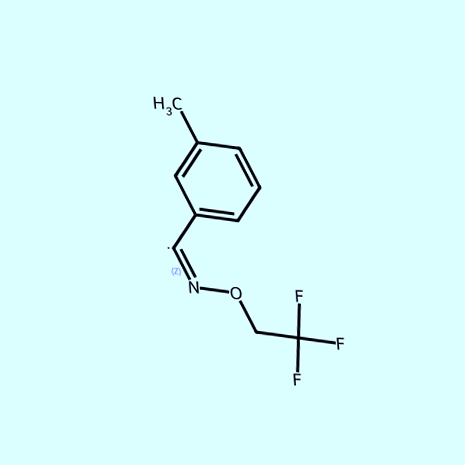 Cc1cccc(/[C]=N\OCC(F)(F)F)c1